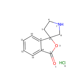 Cl.O=C1OC2(CCNC2)c2ccccc21